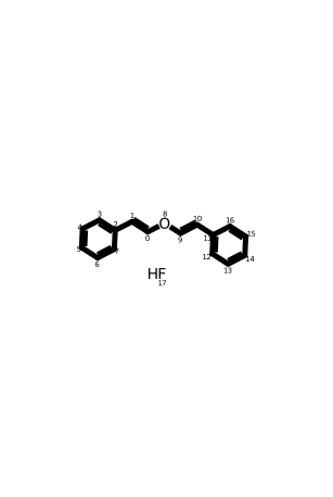 C(=Cc1ccccc1)OC=Cc1ccccc1.F